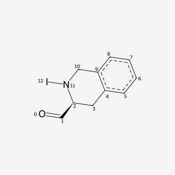 O=C[C@@H]1Cc2ccccc2CN1I